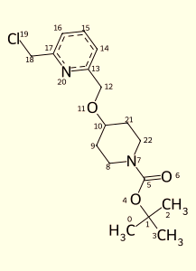 CC(C)(C)OC(=O)N1CCC(OCc2cccc(CCl)n2)CC1